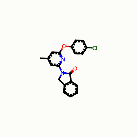 Cc1cc(Oc2ccc(Cl)cc2)nc(N2Cc3ccccc3C2=O)c1